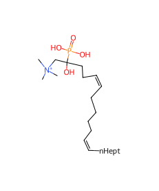 CCCCCCC/C=C\CCCC/C=C\CCC(O)(C[N+](C)(C)C)P(=O)(O)O